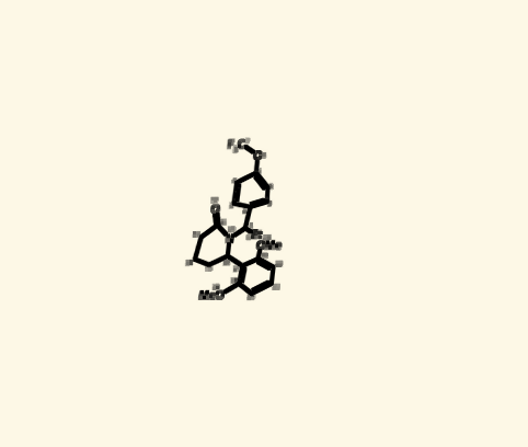 CCC(c1ccc(OC(F)(F)F)cc1)N1C(=O)CCCC1c1c(OC)cccc1OC